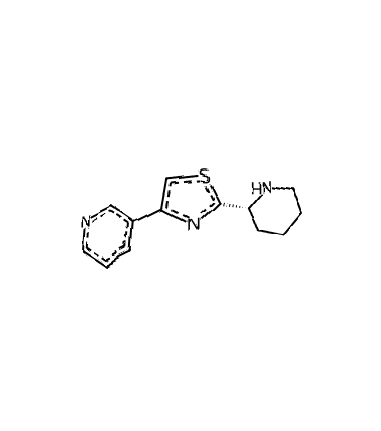 c1cncc(-c2csc([C@H]3CCCCN3)n2)c1